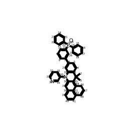 CC1(C)c2ccc(-c3cccc(P(=O)(c4ccccc4)c4ccccc4)c3)cc2N(c2cccnc2)c2cc3cccc4c3c(c21)CC=C4